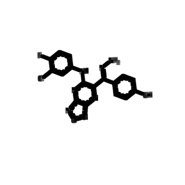 N/N=C(\c1ccc(O)cc1)c1nc2nonc2nc1Nc1ccc(F)c(Cl)c1